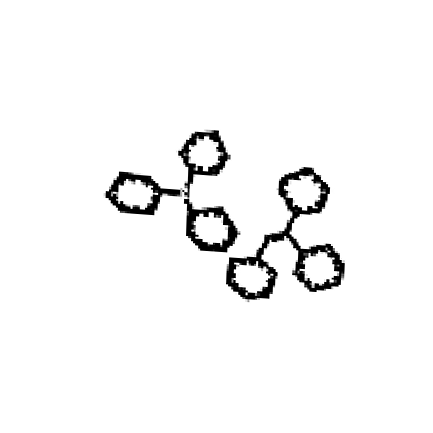 C(=C(c1ccccc1)c1ccccc1)c1ccccc1.c1ccc(N(c2ccccc2)c2ccccc2)cc1